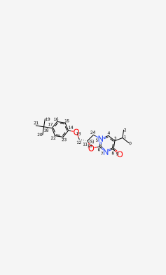 CC(C)c1cn2c(nc1=O)O[C@H](COc1ccc(C(C)(C)C)cc1)C2